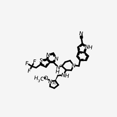 CON1CCC[C@@H]1CNC1CN(Cc2ccc3[nH]c(C#N)cc3c2)CC[C@@H]1Nc1ncnc2sc(CC(F)(F)F)cc12